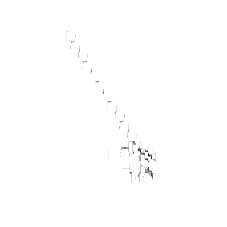 CCOCCOCCOCCOCCOCCOCCOCCOCCOCCOCCOCCNC(=O)C(SCCO)n1cc(C[C@H](N)C(=O)O)nn1